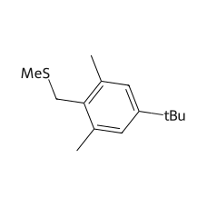 CSCc1c(C)cc(C(C)(C)C)cc1C